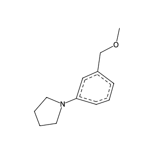 COCc1cccc(N2CCCC2)c1